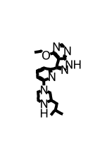 CCOc1ncnc2[nH]nc(-c3cccc(N4CCNC(CC(C)C)C4)n3)c12